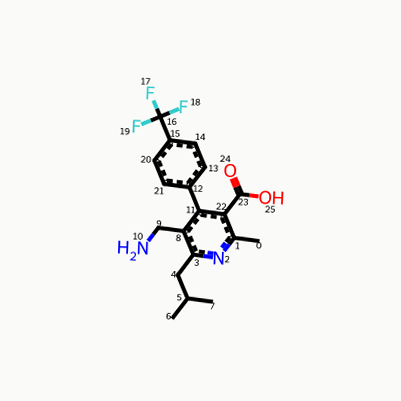 Cc1nc(CC(C)C)c(CN)c(-c2ccc(C(F)(F)F)cc2)c1C(=O)O